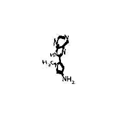 Cn1cc(N)cc1-c1nc2cncnc2[nH]1